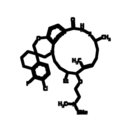 CCC1CCN2CC3(CCCc4c3ccc(Cl)c4F)COc3ccc(cc32)C(=O)NSC(C)CC/C=C(\C)C1OCCN(C)SC